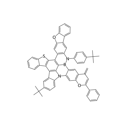 C=C1C=C(c2ccccc2)Oc2cc3c(cc21)B1c2c(c4sc5ccccc5c4c4c5cc(C(C)(C)C)ccc5n-3c24)-c2cc3oc4ccccc4c3cc2N1c1ccc(C(C)(C)C)cc1